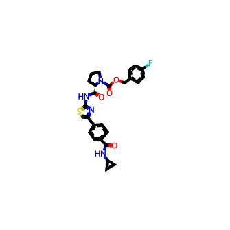 O=C(NC1CC1)c1ccc(-c2csc(NC(=O)[C@@H]3CCCN3C(=O)OCc3ccc(F)cc3)n2)cc1